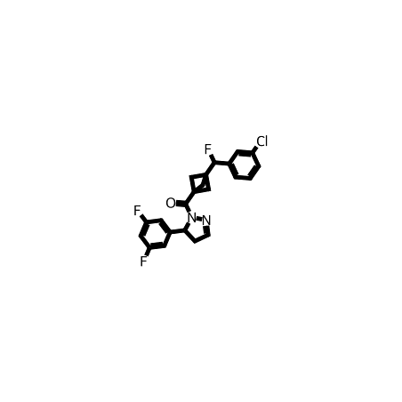 O=C(N1N=CCC1c1cc(F)cc(F)c1)C12CC(C(F)c3cccc(Cl)c3)(C1)C2